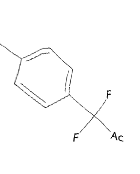 CC(=O)C(F)(F)c1ccc(C)cc1